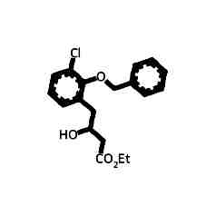 CCOC(=O)CC(O)Cc1cccc(Cl)c1OCc1ccccc1